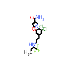 CCC(NCCCC1=CC(=O)C(Cl)(N2CC=C(C(N)=O)C2)C(Cl)=C1)C(F)(F)F